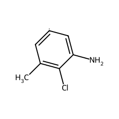 Cc1c[c]cc(N)c1Cl